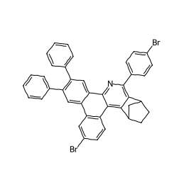 Brc1ccc(-c2nc3c4cc(-c5ccccc5)c(-c5ccccc5)cc4c4cc(Br)ccc4c3c3c2C2CCC3C2)cc1